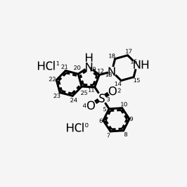 Cl.Cl.O=S(=O)(c1ccccc1)c1c(N2CCNCC2)[nH]c2ccccc12